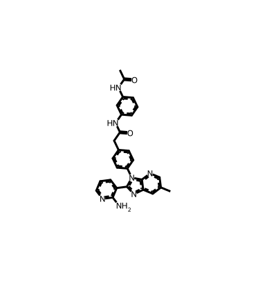 CC(=O)Nc1cccc(NC(=O)Cc2ccc(-n3c(-c4cccnc4N)nc4cc(C)cnc43)cc2)c1